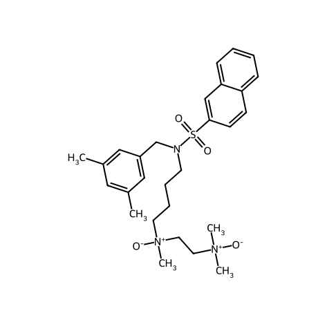 Cc1cc(C)cc(CN(CCCC[N+](C)([O-])CC[N+](C)(C)[O-])S(=O)(=O)c2ccc3ccccc3c2)c1